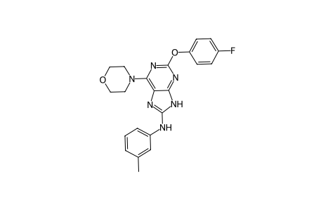 Cc1cccc(Nc2nc3c(N4CCOCC4)nc(Oc4ccc(F)cc4)nc3[nH]2)c1